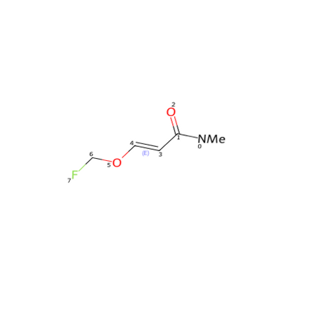 CNC(=O)/C=C/OCF